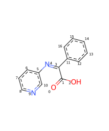 O=C(O)C(=Nc1cccnc1)c1ccccc1